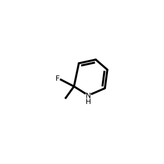 CC1(F)C=CC=CN1